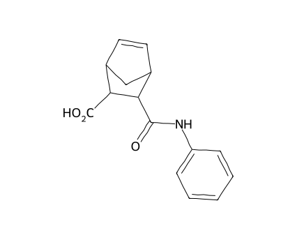 O=C(O)C1C2C=CC(C2)C1C(=O)Nc1ccccc1